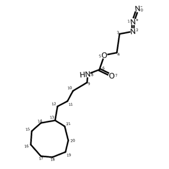 [N-]=[N+]=NCCOC(=O)NCCCCC1CCCCCCCC1